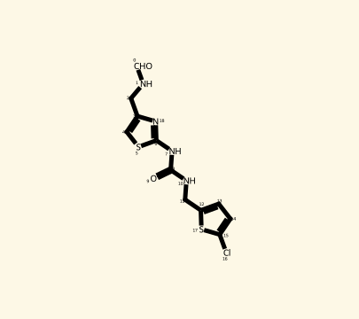 O=CNCc1csc(NC(=O)NCc2ccc(Cl)s2)n1